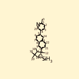 Cc1ccc(-c2ccc3cc(C(C)(O[SiH3])C(C)C(C)(C)C)ccc3c2)cn1